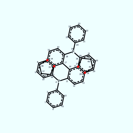 c1ccc(P(c2ccccc2)c2ccc3c(c2-c2c(P(c4ccccc4)c4ccccc4)ccc4c2CCC4)CCC3)cc1